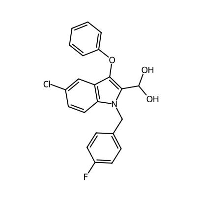 OC(O)c1c(Oc2ccccc2)c2cc(Cl)ccc2n1Cc1ccc(F)cc1